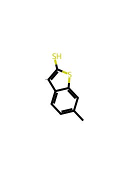 Cc1ccc2[c]c(S)sc2c1